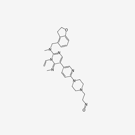 C=Cn1c(N(C)Cc2cccc3c2CCO3)ncc(-c2ccc(N3CCN(CCN=O)CC3)nc2)/c1=N/C